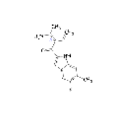 C=C/C(C(=O)c1cc2cc(F)c(C)cc2[nH]1)=C(\C)N